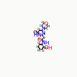 O=C(Cc1nc(N2CCOCC2)cc(=O)[nH]1)Nc1ccccc1O